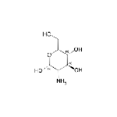 NC1[C@H](O)OC(CO)[C@H](O)[C@H]1O